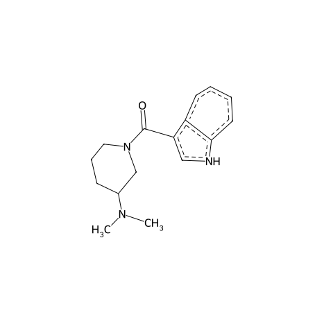 CN(C)C1CCCN(C(=O)c2c[nH]c3ccccc23)C1